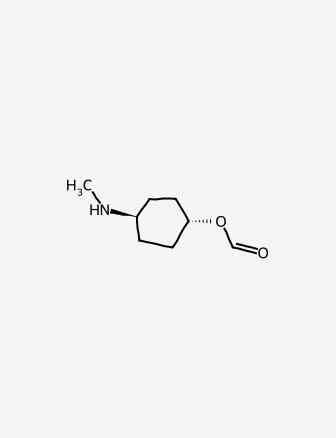 CN[C@H]1CC[C@H](OC=O)CC1